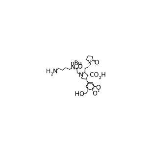 CCCCN(CCCCN)C(=O)CN1C[C@H](c2cc(CO)c3c(c2)OCO3)[C@@H](C(=O)O)[C@@H]1CCN1CCCC1=O